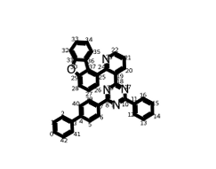 c1ccc(-c2ccc(-c3nc(-c4ccccc4)nc(-c4cccnc4-c4cccc5oc6ccccc6c45)n3)cc2)cc1